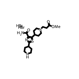 Br.Br.COC(=O)CCN1CCC(c2sc(C3CCNCC3)nc2C(N)=O)CC1